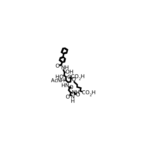 CC(=O)N[C@H]1[C@H]([C@H](O)[C@H](O)CNC(=O)c2ccc(-c3ccccc3)cc2)O[C@@](OCCCCCC(=O)O)(C(=O)O)C[C@@H]1NC(=O)CC1NC(=O)NC1=O